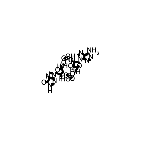 Nc1ncnc2c1ncn2C1O[C@@H]2COP(=O)(O)O[C@@H]3[C@@H](COP(=O)(O)O[C@@H]1[C@@H]2O)OC(n1cnc2c(=O)[nH]cnc21)[C@@H]3F